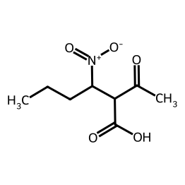 CCCC(C(C(C)=O)C(=O)O)[N+](=O)[O-]